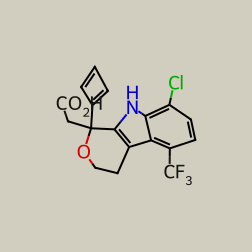 O=C(O)CC1(C2=CC=C2)OCCc2c1[nH]c1c(Cl)ccc(C(F)(F)F)c21